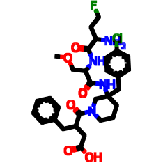 COCC(NC(=O)C(N)CCF)C(=O)NC1(Cc2ccc(Cl)cc2)CCCN(C(=O)C(CC(=O)O)Cc2ccccc2)C1